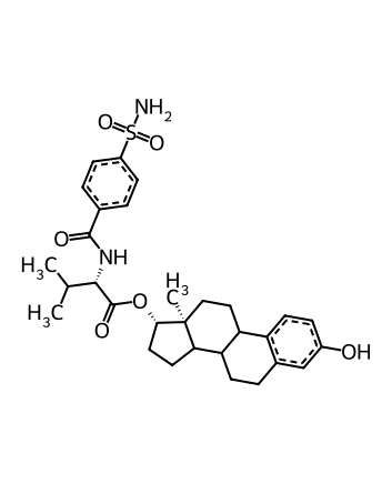 CC(C)[C@H](NC(=O)c1ccc(S(N)(=O)=O)cc1)C(=O)O[C@H]1CCC2C3CCc4cc(O)ccc4C3CC[C@@]21C